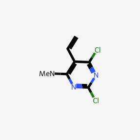 C=Cc1c(Cl)nc(Cl)nc1NC